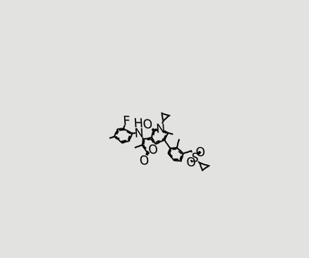 Cc1ccc(Nc2c(C)c(=O)oc3c(-c4cccc(CS(=O)(=O)C5CC5)c4C)c(C)n(C4CC4)c(=O)c23)c(F)c1